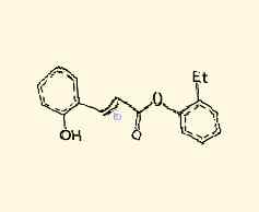 CCc1ccccc1OC(=O)/C=C/c1ccccc1O